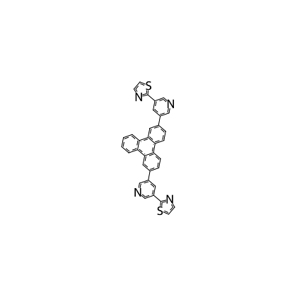 c1ccc2c(c1)c1cc(-c3cncc(-c4nccs4)c3)ccc1c1ccc(-c3cncc(-c4nccs4)c3)cc21